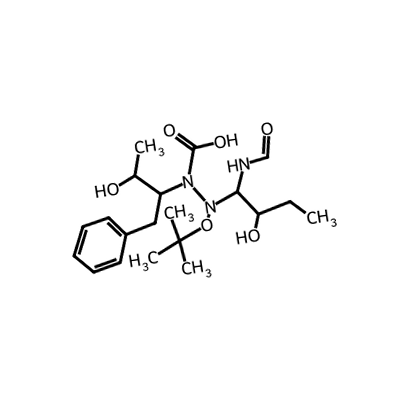 CCC(O)C(NC=O)N(OC(C)(C)C)N(C(=O)O)C(Cc1ccccc1)C(C)O